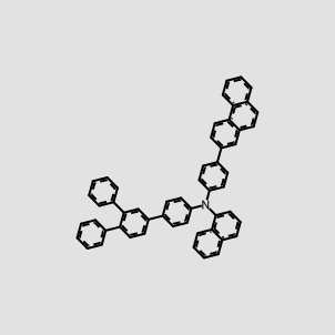 c1ccc(-c2ccc(-c3ccc(N(c4ccc(-c5ccc6c(ccc7ccccc76)c5)cc4)c4cccc5ccccc45)cc3)cc2-c2ccccc2)cc1